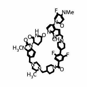 CNc1cc(=O)n(-c2ccnc3c2cc(CN2CC=C(c4c(F)cc(C(=O)N5CCC(CN6CCN(Cc7ccc8c(c7)n(C)c(=O)n8[C@@H]7CCC(=O)NC7=O)C[C@@H]6C)CC5)cc4F)CC2)n3C)cc1F